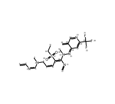 C=C/N=C\N(C)C/C=C\C(=C(/N=C)N(C)/N=C1/C=C(C(F)(F)F)N=CC1=C)S(=O)(=O)CC